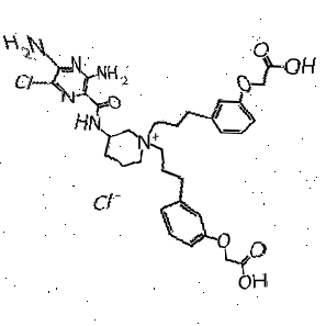 Nc1nc(N)c(C(=O)NC2CCC[N+](CCCc3cccc(OCC(=O)O)c3)(CCCc3cccc(OCC(=O)O)c3)C2)nc1Cl.[Cl-]